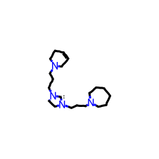 [C]1N(CCCN2CC=CCC2)CCN1CCCN1CCCCCC1